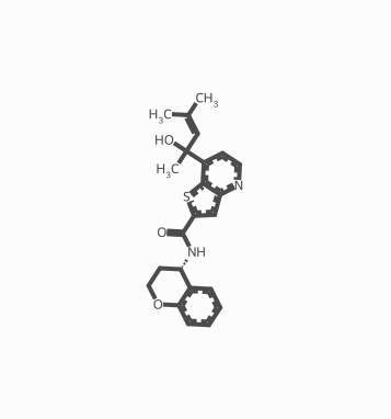 CC(C)=CC(C)(O)c1ccnc2cc(C(=O)N[C@H]3CCOc4ccccc43)sc12